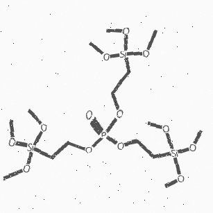 CO[Si](CCOP(=O)(OCC[Si](OC)(OC)OC)OCC[Si](OC)(OC)OC)(OC)OC